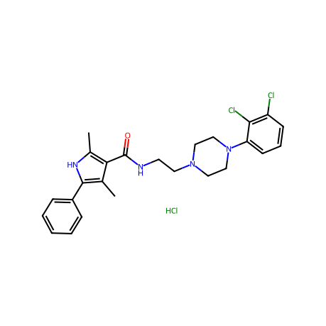 Cc1[nH]c(-c2ccccc2)c(C)c1C(=O)NCCN1CCN(c2cccc(Cl)c2Cl)CC1.Cl